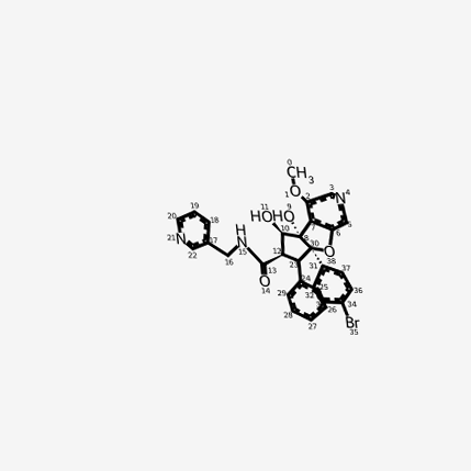 COc1cncc2c1[C@]1(O)[C@H](O)[C@H](C(=O)NCc3cccnc3)C(c3ccccc3)[C@]1(c1ccc(Br)cc1)O2